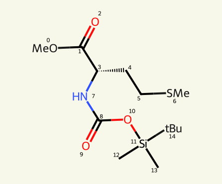 COC(=O)[C@H](CCSC)NC(=O)O[Si](C)(C)C(C)(C)C